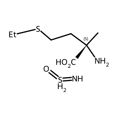 CCSCC[C@](C)(N)C(=O)O.N=[SH2]=O